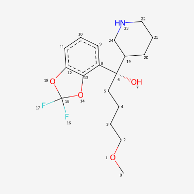 COCCCC[C@@](O)(c1cccc2c1OC(F)(F)O2)C1CCCNC1